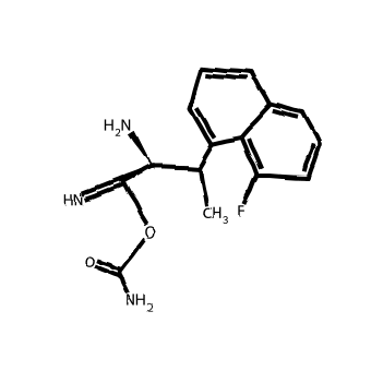 CC(c1cccc2cccc(F)c12)[C@H](N)C(=N)OC(N)=O